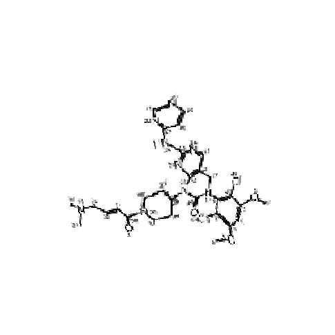 COc1cc(OC)c(Cl)c(N2Cc3cnc(Nc4ccncn4)nc3N(C3CCN(C(=O)/C=C/CN(C)C)CC3)C2=O)c1Cl